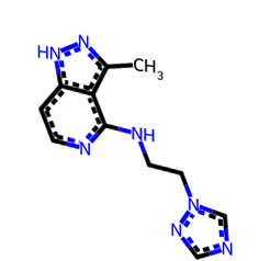 Cc1n[nH]c2ccnc(NCCn3cncn3)c12